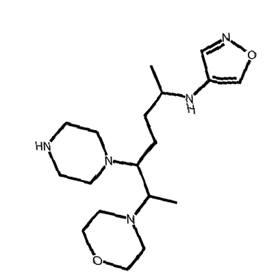 CC(CCC(C(C)N1CCOCC1)N1CCNCC1)Nc1cnoc1